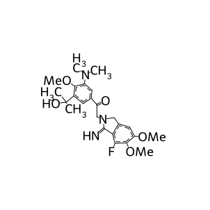 COc1cc2c(c(F)c1OC)C(=N)N(CC(=O)c1cc(N(C)C)c(OC)c(C(C)(C)O)c1)C2